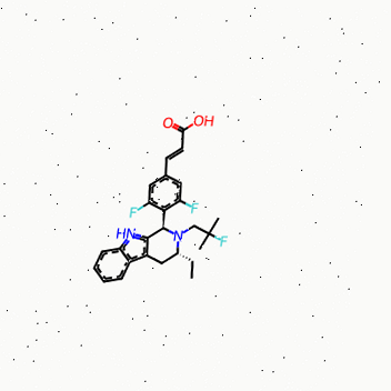 CC[C@@H]1Cc2c([nH]c3ccccc23)[C@@H](c2c(F)cc(/C=C/C(=O)O)cc2F)N1CC(C)(C)F